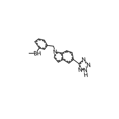 CBc1cccc(Cn2ccc3cc(-c4nn[nH]n4)ccc32)c1